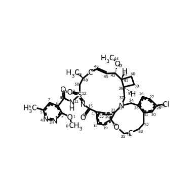 COc1nnc(C)cc1C(=O)NS1(=O)=NC(=O)c2ccc3c(c2)N(Cc2ccc(Cl)cc2CCCCO3)C[C@@H]2CC[C@H]2[C@@H](OC)/C=C/C[C@H](C)C1